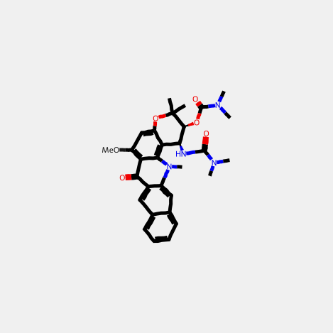 COc1cc2c(c3c1c(=O)c1cc4ccccc4cc1n3C)[C@H](NC(=O)N(C)C)[C@H](OC(=O)N(C)C)C(C)(C)O2